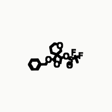 CC(OS(=O)C(C)(F)F)C1(C(=O)OCc2ccccc2)CCCOC1